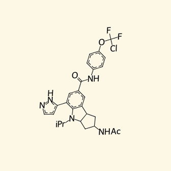 CC(=O)NC1CC2c3cc(C(=O)Nc4ccc(OC(F)(F)Cl)cc4)cc(-c4ccn[nH]4)c3N(C(C)C)C2C1